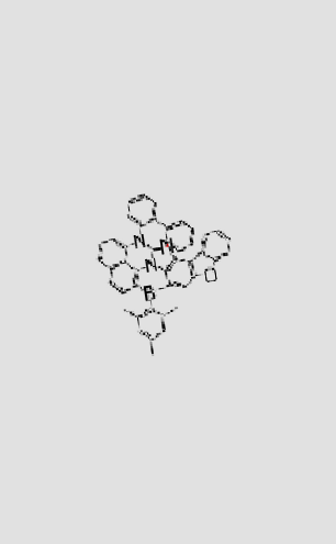 Cc1cc(C)c(B2c3cc4oc5ccccc5c4c4nc5n(-c6ccccc6-c6ccccc6)c6cccc7ccc2c(c76)n5c34)c(C)c1